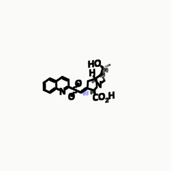 C[C@@H](O)[C@@H]1CN2[C@@H]1C/C(=C\S(=O)(=O)c1ccc3ccccc3n1)[C@@H]2C(=O)O